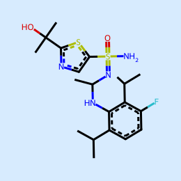 CC(N=S(N)(=O)c1cnc(C(C)(C)O)s1)Nc1c(C(C)C)ccc(F)c1C(C)C